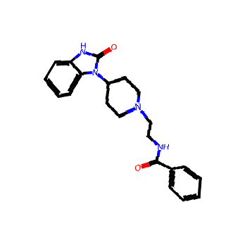 O=C(NCCN1CCC(n2c(=O)[nH]c3ccccc32)CC1)c1ccccc1